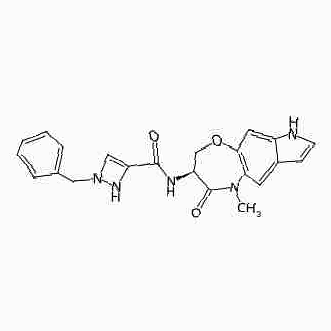 CN1C(=O)[C@@H](NC(=O)c2cn(Cc3ccccc3)[nH]2)COc2cc3[nH]ccc3cc21